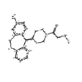 CCOCC(=O)N1CCC(=C2c3ccc(Cl)cc3CCc3cccnc32)CC1